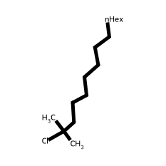 CCCCCCCCCCCCCC(C)(C)Cl